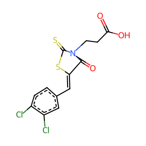 O=C(O)CCN1C(=O)/C(=C/c2ccc(Cl)c(Cl)c2)SC1=S